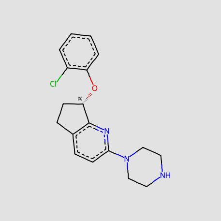 Clc1ccccc1O[C@H]1CCc2ccc(N3CCNCC3)nc21